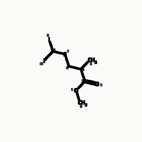 COC(=O)C(C)CSC(I)I